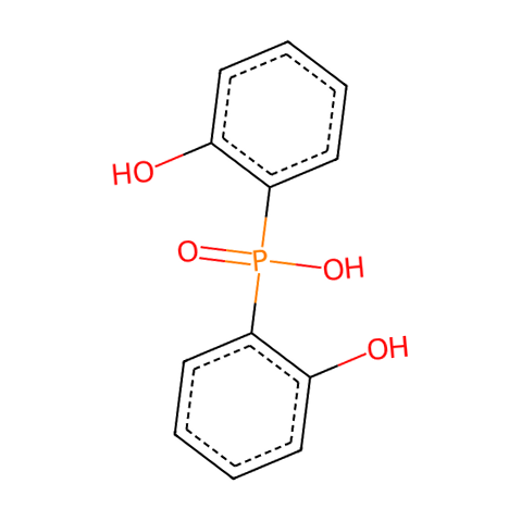 O=P(O)(c1ccccc1O)c1ccccc1O